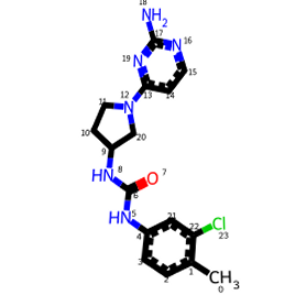 Cc1ccc(NC(=O)NC2CCN(c3ccnc(N)n3)C2)cc1Cl